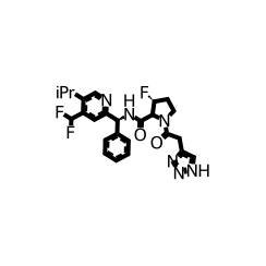 CC(C)c1cnc([C@@H](NC(=O)C2[C@H](F)CCN2C(=O)Cc2c[nH]nn2)c2ccccc2)cc1C(F)F